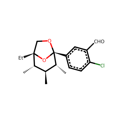 CC[C@@]12CO[C@@](c3ccc(Cl)c(C=O)c3)(O1)[C@H](C)[C@@H](C)[C@@H]2C